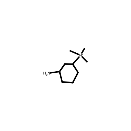 C[N+](C)(C)C1CCCC(N)C1